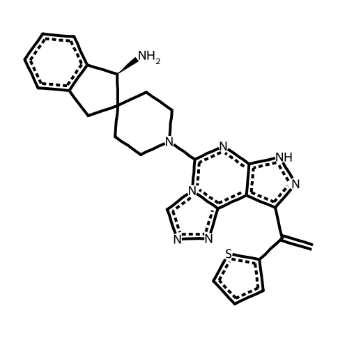 C=C(c1cccs1)c1n[nH]c2nc(N3CCC4(CC3)Cc3ccccc3[C@H]4N)n3cnnc3c12